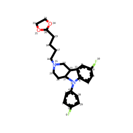 Fc1ccc(N2c3ccc(F)cc3C3CN(CCCCC4OCCO4)CCC32)cc1